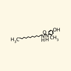 CCCCCCCCCCCCNC(=O)Nc1ccc(O)cc1C